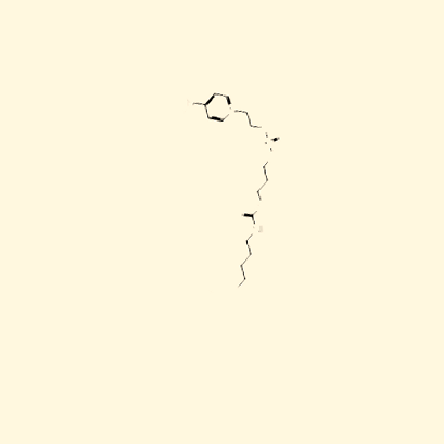 CCCCCCCCCCCCCCNC(=O)OCCCOP(=O)([O-])OCC[n+]1ccc(N)cc1